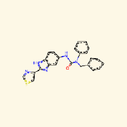 O=C(Nc1ccc2[nH]c(-c3cscn3)nc2c1)N(Cc1ccccc1)c1ccccc1